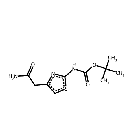 CC(C)(C)OC(=O)Nc1nc(CC(N)=O)cs1